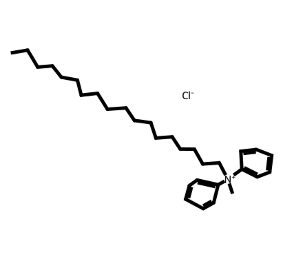 CCCCCCCCCCCCCCCCCC[N+](C)(c1ccccc1)c1ccccc1.[Cl-]